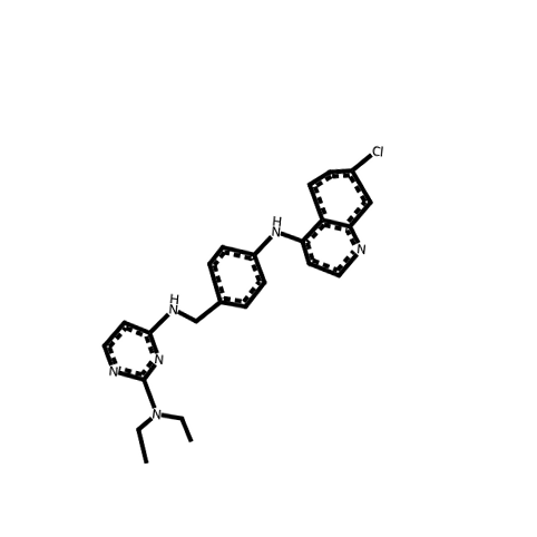 CCN(CC)c1nccc(NCc2ccc(Nc3ccnc4cc(Cl)ccc34)cc2)n1